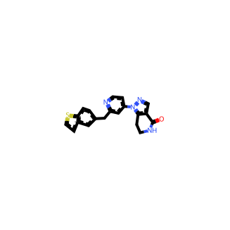 O=C1NCCc2c1cnn2-c1ccnc(Cc2ccc3sccc3c2)c1